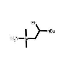 CCCCC(CC)C[Si](C)(C)N